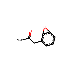 COC(=O)Cc1cccc2c1O2